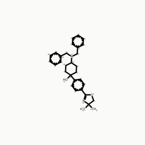 CC1(C)COC(c2ccc(C3(O)CCC(N(Cc4ccccc4)Cc4ccccc4)CC3)cc2)=N1